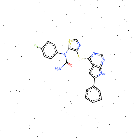 NC(=O)N(c1ccc(F)cc1)c1scnc1Sc1ncnc2[nH]c(-c3ccccc3)cc12